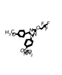 COc1ccc(-c2nc(OCC(F)(F)F)nn2-c2ccc(S(N)(=O)=O)cc2)cc1